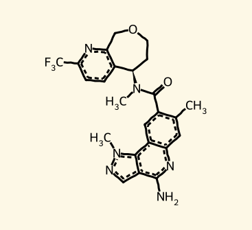 Cc1cc2nc(N)c3cnn(C)c3c2cc1C(=O)N(C)[C@@H]1CCOCc2nc(C(F)(F)F)ccc21